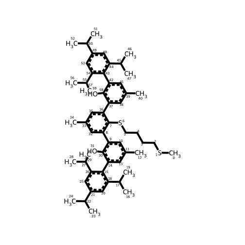 CSCCCCSc1c(-c2cc(C)cc(-c3c(C(C)C)cc(C(C)C)cc3C(C)C)c2O)cc(C)cc1-c1cc(C)cc(-c2c(C(C)C)cc(C(C)C)cc2C(C)C)c1O